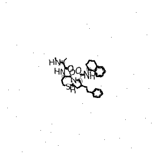 CN[C@@H](C)C(=O)N[C@H]1CCS[C@H]2CC(CCc3ccccc3)[C@@H](C(=O)N[C@@H]3CCCc4ccccc43)N2C1=O